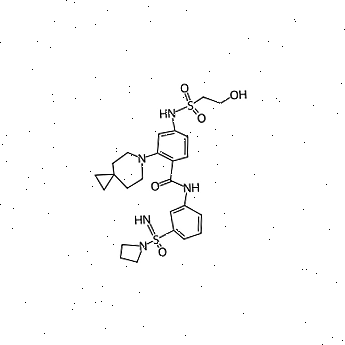 N=S(=O)(c1cccc(NC(=O)c2ccc(NS(=O)(=O)CCO)cc2N2CCC3(CC2)CC3)c1)N1CCC1